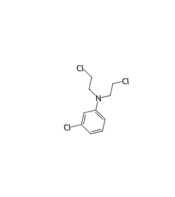 ClCCN(CCCl)c1cccc(Cl)c1